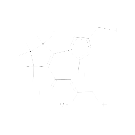 C=C(/C=C(/CO)SC)C1=C(c2cc(CO)sc2C)C(F)(F)C(F)(F)C1(F)F